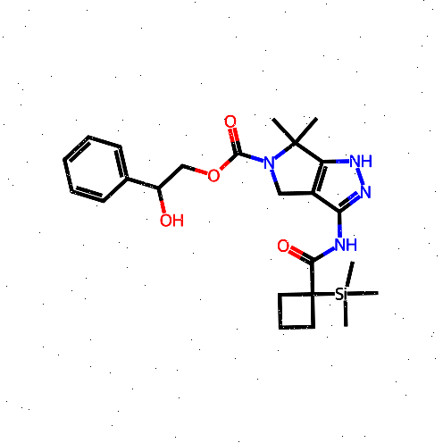 CC1(C)c2[nH]nc(NC(=O)C3([Si](C)(C)C)CCC3)c2CN1C(=O)OCC(O)c1ccccc1